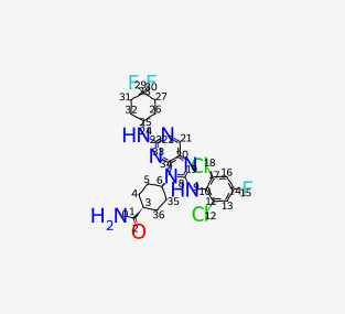 NC(=O)[C@H]1CC[C@@H](n2c(Nc3c(Cl)cc(F)cc3Cl)nc3cnc(NC4CCC(F)(F)CC4)nc32)CC1